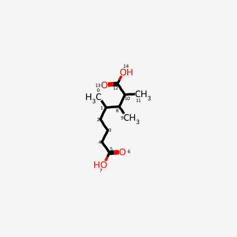 CC(CCCC(=O)O)C(C)C(C)C(=O)O